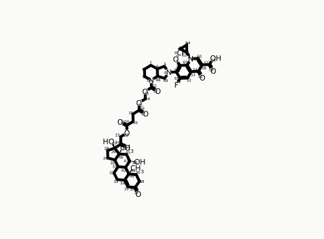 COc1c(N2CC3CCCN(C(=O)OCOC(=O)CCC(=O)OCC(=O)[C@@]4(O)CCC5C6CCC7=CC(=O)CC[C@]7(C)C6[C@@H](O)C[C@@]54C)C3C2)c(F)cc2c(=O)c(C(=O)O)cn(C3CC3)c12